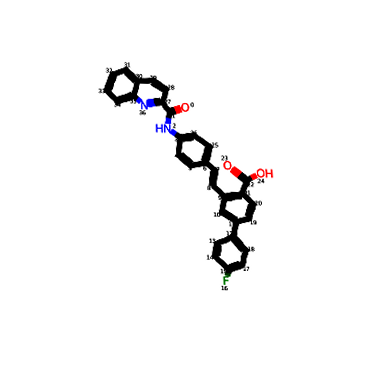 O=C(Nc1ccc(C=Cc2cc(-c3ccc(F)cc3)ccc2C(=O)O)cc1)c1ccc2ccccc2n1